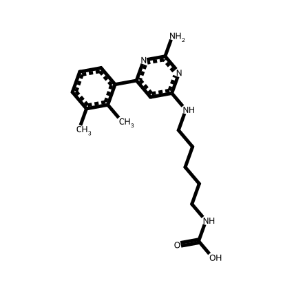 Cc1cccc(-c2cc(NCCCCCNC(=O)O)nc(N)n2)c1C